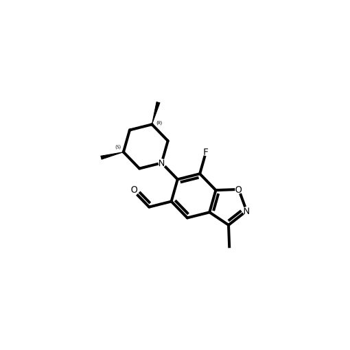 Cc1noc2c(F)c(N3C[C@H](C)C[C@H](C)C3)c(C=O)cc12